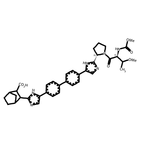 COC(=O)N[C@H](C(=O)N1CCC[C@H]1c1ncc(-c2ccc(-c3ccc(-c4cnc(C5C6CCC(C6)C5C(=O)O)[nH]4)cc3)cc2)[nH]1)C(C)OC